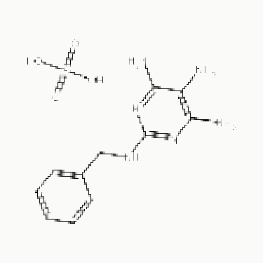 Nc1nc(NCc2ccccc2)nc(N)c1N.O=S(=O)(O)O